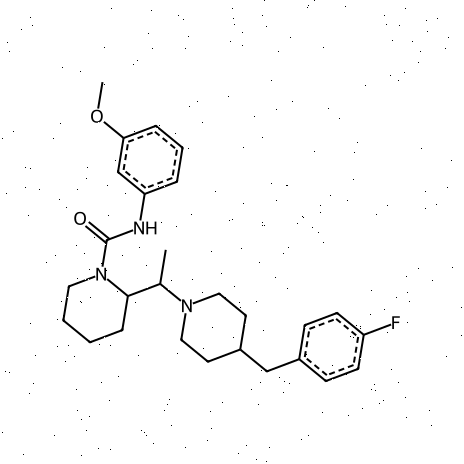 COc1cccc(NC(=O)N2CCCCC2C(C)N2CCC(Cc3ccc(F)cc3)CC2)c1